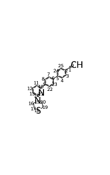 C#Cc1ccc(-c2ccc(-c3cccc(N4CCSCC4)n3)cc2)cc1